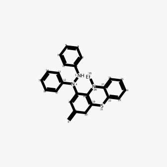 C=C1C=C(N(Nc2ccccc2)c2ccccc2)C2=C(C1)Sc1ccccc1N2CC